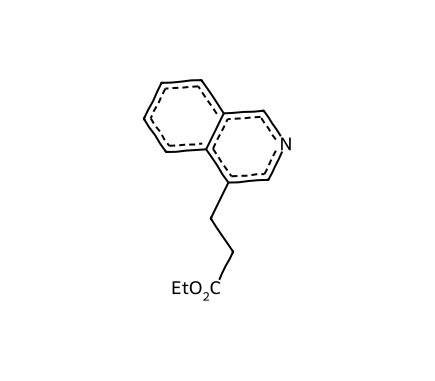 CCOC(=O)CCc1cncc2ccccc12